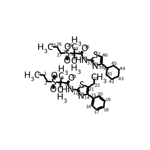 CCCS(=O)(=O)C(C)(C)C(=O)Nc1nc(-c2ccccc2)c(CC)s1.CCCS(=O)(=O)C(C)(C)C(=O)Nc1nc(C2CCCCC2)cs1